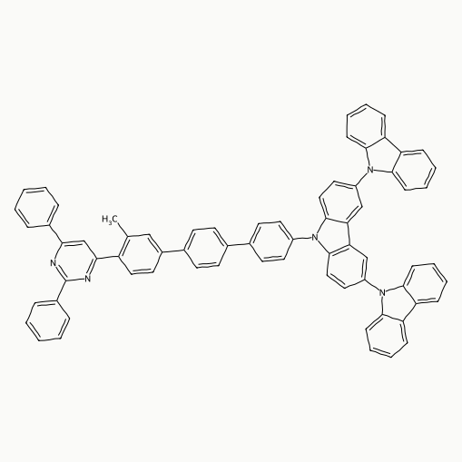 Cc1cc(-c2ccc(-c3ccc(-n4c5ccc(-n6c7ccccc7c7ccccc76)cc5c5cc(-n6c7ccccc7c7ccccc76)ccc54)cc3)cc2)ccc1-c1cc(-c2ccccc2)nc(-c2ccccc2)n1